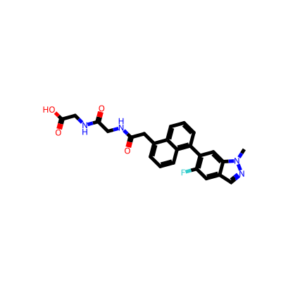 Cn1ncc2cc(F)c(-c3cccc4c(CC(=O)NCC(=O)NCC(=O)O)cccc34)cc21